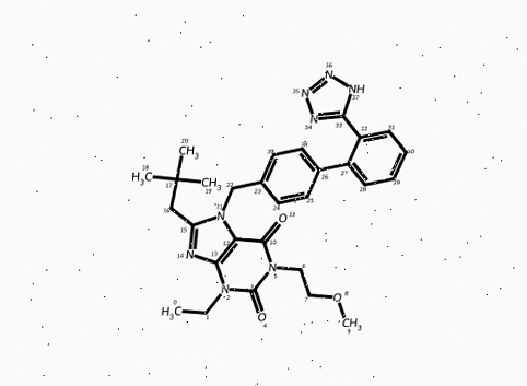 CCn1c(=O)n(CCOC)c(=O)c2c1nc(CC(C)(C)C)n2Cc1ccc(-c2ccccc2-c2nnn[nH]2)cc1